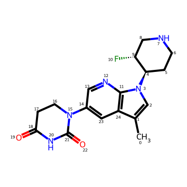 Cc1cn([C@@H]2CCNC[C@H]2F)c2ncc(N3CCC(=O)NC3=O)cc12